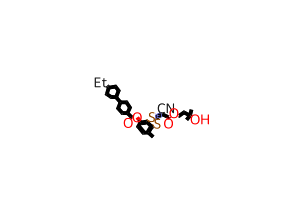 CCC1CCC(C2CCC(C(=O)Oc3ccc(C)c4c3S/C(=C(\C#N)C(=O)OCCC(C)(C)O)S4)CC2)CC1